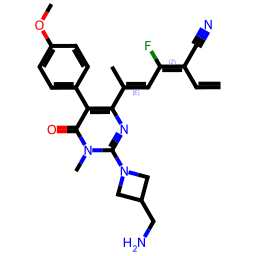 C=C/C(C#N)=C(F)\C=C(/C)c1nc(N2CC(CN)C2)n(C)c(=O)c1-c1ccc(OC)cc1